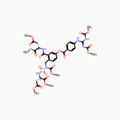 CC(C)(C)OC(=O)C[C@H](NC(=O)c1cc(OC(=O)c2ccc(NC(=NC(=O)OC(C)(C)C)NC(=O)OC(C)(C)C)cc2)ccc1CN(C(=O)OC(C)(C)C)S(=O)(=O)N[C@@H](CC(=O)OC(C)(C)C)C(=O)OC(C)(C)C)C(=O)OC(C)(C)C